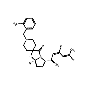 C=C(/C=C(F)\C=C(/C)F)[C@@H]1CC[C@H]2OC3(CCN(Cc4ccccc4C)CC3)C(=O)N21